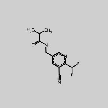 CC(C)C(=O)NCc1cnc(C(F)F)c(C#N)c1